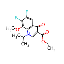 CCOC(=O)c1cn(C(C)C)c2c(OC)c(F)c(F)cc2c1=O